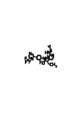 CCC(C(=O)Nc1ccc(-c2cncc(C(F)(F)F)n2)cc1F)c1ccnc(NSC2CC2)n1